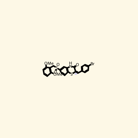 COc1cccc(OC)c1CS(=O)(=O)c1ccc2c(c1)NC(=O)/C(=C\c1ccc(Br)cc1)S2